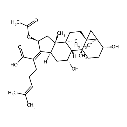 CC(=O)O[C@H]1C[C@@]2(C)[C@@H](C[C@@H](O)[C@@H]3[C@]2(C)CC[C@@]24C[C@@]2(C)[C@H](O)CC[C@]34C)/C1=C(\CCC=C(C)C)C(=O)O